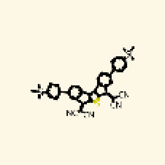 C[Si](C)(C)c1ccc(-c2ccc3c(c2)C(=C(C#N)C#N)c2sc4c(c2-3)-c2ccc(-c3ccc([Si](C)(C)C)cc3)cc2C4=C(C#N)C#N)cc1